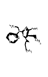 CCCc1nc(N(CC)c2ccncn2)nc(N)c1CC